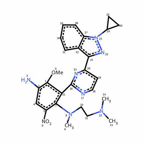 COc1c(N)cc([N+](=O)[O-])c(N(C)CCN(C)C)c1-c1nccc(-c2nn(C3CC3)c3ccccc23)n1